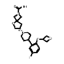 O=C(O)N1CC2(C[C@H](N3CCC(c4cc(F)ccc4OC4COC4)CC3)CO2)C1